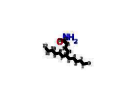 CCCCCCC(CCCCCC)CCCC(N)=O